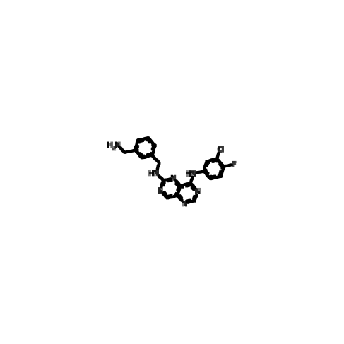 NCc1cccc(CNc2ncc3ncnc(Nc4ccc(F)c(Cl)c4)c3n2)c1